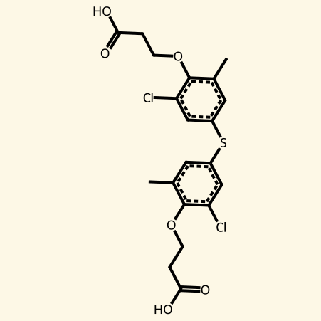 Cc1cc(Sc2cc(C)c(OCCC(=O)O)c(Cl)c2)cc(Cl)c1OCCC(=O)O